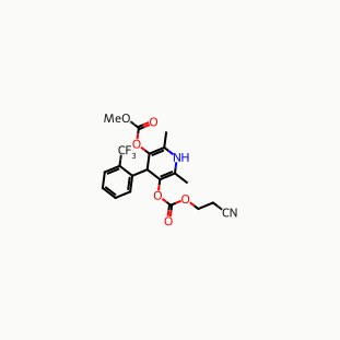 COC(=O)OC1=C(C)NC(C)=C(OC(=O)OCCC#N)C1c1ccccc1C(F)(F)F